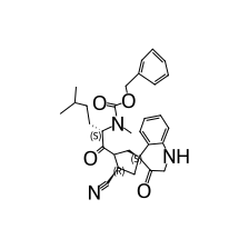 CC(C)CC[C@@H](C(=O)C1C[C@]2(C[C@H]1C#N)C(=O)CNc1ccccc12)N(C)C(=O)OCc1ccccc1